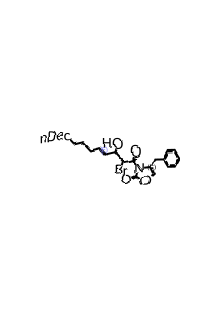 CCCCCCCCCCCCC/C=C/C(O)C(Br)C(=O)N1C(=O)OC[C@@H]1Cc1ccccc1